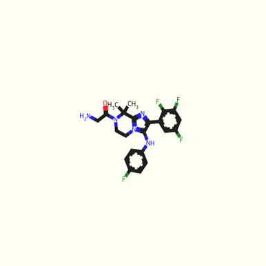 CC1(C)c2nc(-c3cc(F)cc(F)c3F)c(Nc3ccc(F)cc3)n2CCN1C(=O)CN